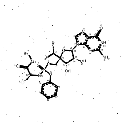 CC(C)OC(=O)[C@H](C)NP(=S)(OC[C@@]1(C(F)F)O[C@@H](n2cnc3c(=O)[nH]c(N)nc32)[C@H](O)[C@@H]1O)Oc1ccccc1